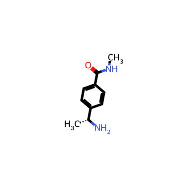 CNC(=O)c1ccc([C@@H](C)N)cc1